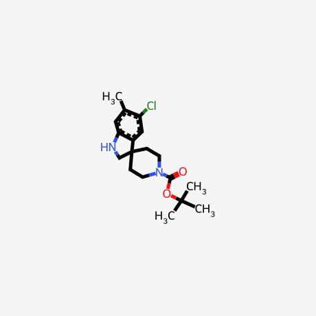 Cc1cc2c(cc1Cl)C1(CCN(C(=O)OC(C)(C)C)CC1)CN2